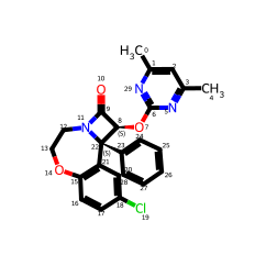 Cc1cc(C)nc(O[C@@H]2C(=O)N3CCOc4ccc(Cl)cc4[C@@]23c2ccccc2)n1